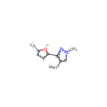 CSc1cn(C)nc1-c1ccc([N+](=O)[O-])o1